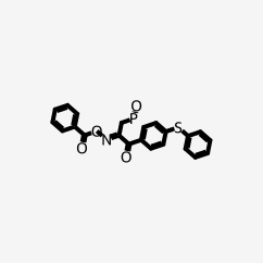 O=PC/C(=N\OC(=O)c1ccccc1)C(=O)c1ccc(Sc2ccccc2)cc1